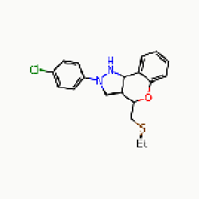 CCSCC1Oc2ccccc2C2NN(c3ccc(Cl)cc3)CC12